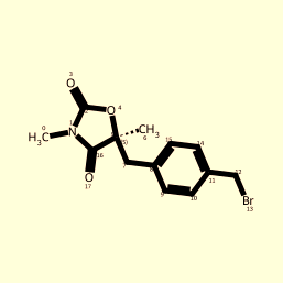 CN1C(=O)O[C@@](C)(Cc2ccc(CBr)cc2)C1=O